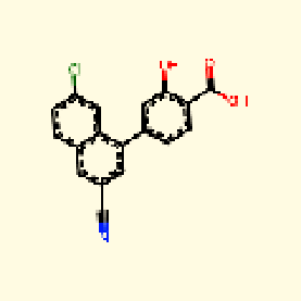 N#Cc1cc(-c2ccc(C(=O)O)c(O)c2)c2cc(Cl)ccc2c1